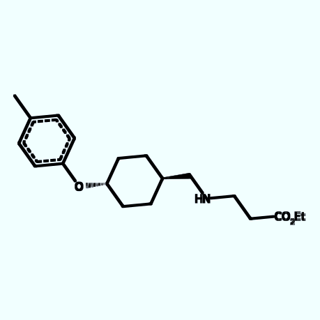 CCOC(=O)CCNC[C@H]1CC[C@H](Oc2ccc(C)cc2)CC1